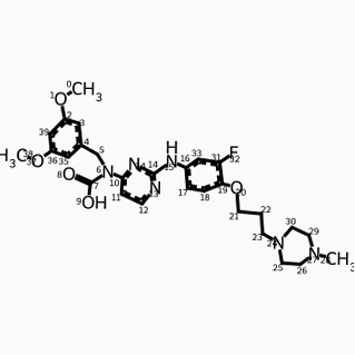 COc1cc(CN(C(=O)O)c2ccnc(Nc3ccc(OCCCN4CCN(C)CC4)c(F)c3)n2)cc(OC)c1